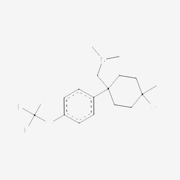 CN(C)CC1(c2ccc(OC(F)(F)F)cc2)CCC(C)(O)CC1